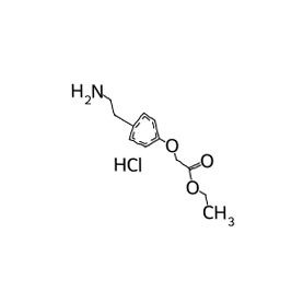 CCOC(=O)COc1ccc(CCN)cc1.Cl